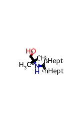 CCCCCCCC(CCCCCCC)NC(C)(C)CO